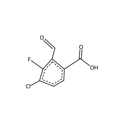 O=Cc1c(C(=O)O)ccc(Cl)c1F